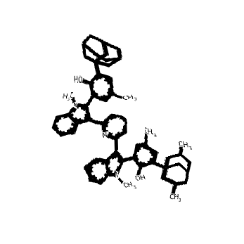 Cc1cc(-c2c(-c3cccc(-c4c(-c5cc(C)cc(C67CC8CC(CC(C8)C6)C7)c5O)n(C)c5ccccc45)n3)c3ccccc3n2C)c(O)c(C23CC(C)CC(CC(C)C2)C3)c1